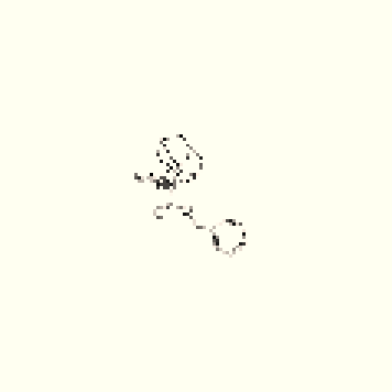 CC(=O)NC12CC3CC(C1)C(NC(=O)OCc1ccccc1)C(C3)C2